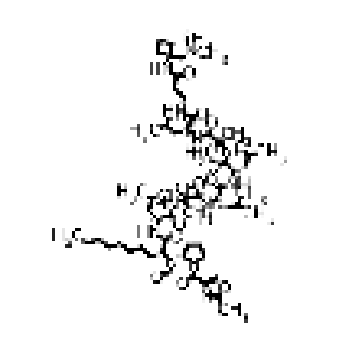 CCCCCCCC[C@@H](C(=O)N[C@@H](CC(C)C)C(=O)NC(C)(C)C(=O)N[C@@H](CC(C)C)C(=O)N[C@@H](CC(C)C)C(=O)NC(C)(C)C(=O)N[C@@H](CC(C)C)C(=O)NCCC(=O)NC1(CN(C)C)CCC1)N(C=O)[C@@H]1CCCN1C(=O)c1coc(C)n1